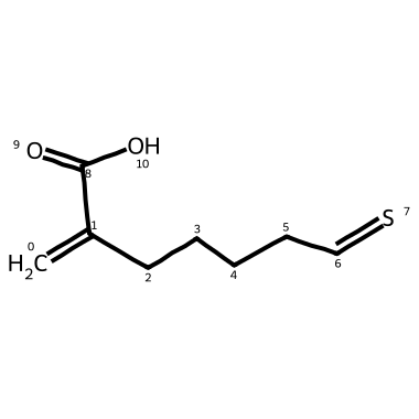 C=C(CCCCC=S)C(=O)O